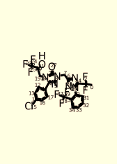 CC(F)(F)c1nc(Cn2nc(-c3ccc(Cl)cc3)n(C[C@H](O)C(F)(F)F)c2=O)nn1-c1ccccc1C(F)(F)F